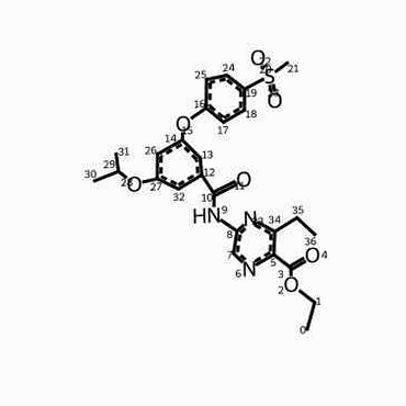 CCOC(=O)c1ncc(NC(=O)c2cc(Oc3ccc(S(C)(=O)=O)cc3)cc(OC(C)C)c2)nc1CC